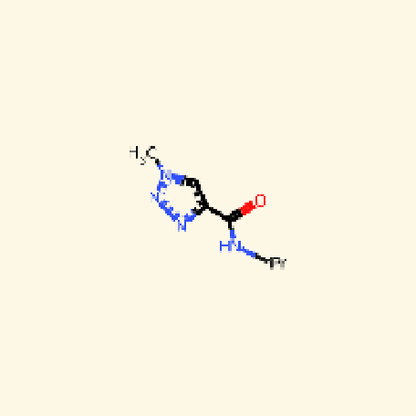 CC(C)NC(=O)c1cn(C)nn1